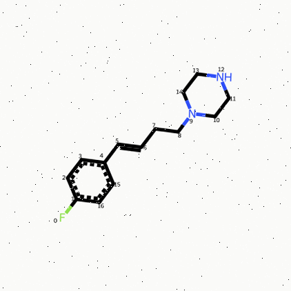 Fc1ccc(/C=C/CCN2CCNCC2)cc1